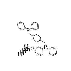 [C]=O.[H-].[H-].[H-].[Rh+3].c1ccc(P(CC2CCC(CP(c3ccccc3)c3ccccc3)CC2)c2ccccc2)cc1